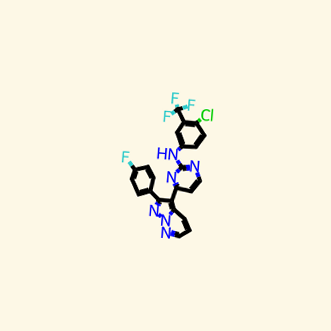 Fc1ccc(-c2nn3ncccc3c2-c2ccnc(Nc3ccc(Cl)c(C(F)(F)F)c3)n2)cc1